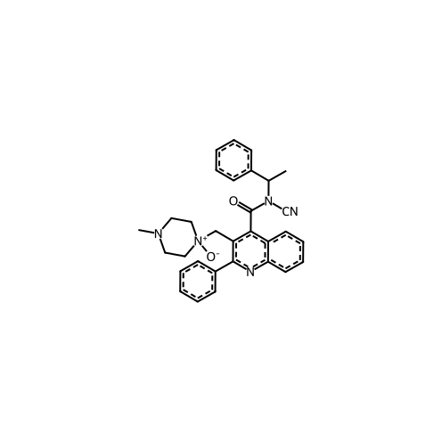 CC(c1ccccc1)N(C#N)C(=O)c1c(C[N+]2([O-])CCN(C)CC2)c(-c2ccccc2)nc2ccccc12